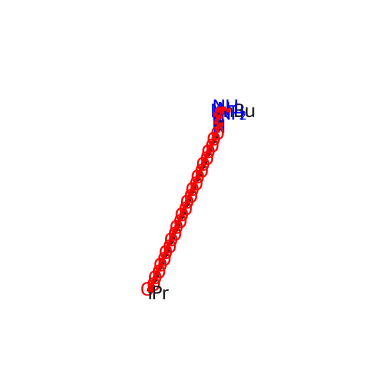 CCCCc1nc2c(N)nc3ccc(N4CCN(CCOCCOCCOCCOCCOCCOCCOCCOCCOCCOCCOCCOCCOCCOCCOCCOCCOCCOCCOCCOCCOCCOCCOCCOCCOCCC(=O)C(C)C)CC4)cc3c2[nH]1